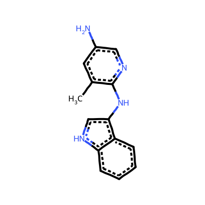 Cc1cc(N)cnc1Nc1c[nH]c2ccccc12